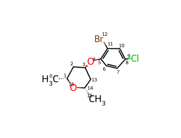 C[C@@H]1C[C@@H](Oc2ccc(Cl)cc2Br)C[C@H](C)O1